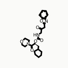 O=C(CNC(=O)O[C@@H](CC1CCCCC1)C(=O)N1CCOCC1)Cc1nc2ccccc2o1